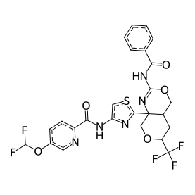 O=C(NC1=NC2(c3nc(NC(=O)c4ccc(OC(F)F)cn4)cs3)COC(C(F)(F)F)CC2CO1)c1ccccc1